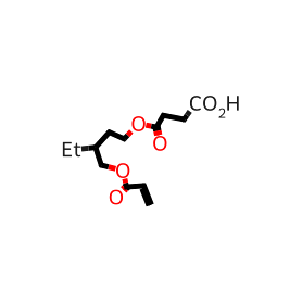 C=CC(=O)OCC(CC)CCOC(=O)CCC(=O)O